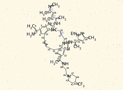 C=C(Nc1nc2cc(C(=C)N)cc3c2n1C/C=C/Cn1c(NC(=C)c2cc(C)nn2CC)nc2cc(C(=C)NCCCN4CCC(C(F)(F)F)CC4)cc(c21)CCCCC3)/C(C)=C/C(C)=N\C